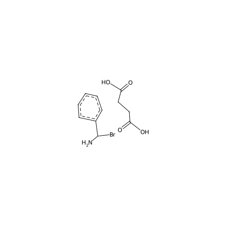 NC(Br)c1ccccc1.O=C(O)CCC(=O)O